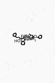 CC(CC(=O)OCc1ccccc1)[C@H](N)C(=O)NC(c1ccccc1)C(O)C(F)(F)C(O)CCc1ccccc1